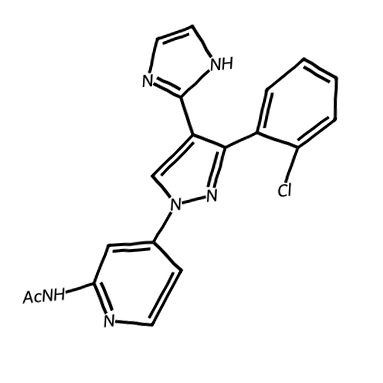 CC(=O)Nc1cc(-n2cc(-c3ncc[nH]3)c(-c3ccccc3Cl)n2)ccn1